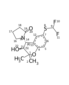 CC1(C)Oc2ccc(SC(F)F)cc2[C@@H](N2CCCC2=O)[C@@H]1O